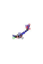 CC1(C)[C@H](NC(=O)c2ccc(N3CCN(C4CN(c5ccc6c(c5)C(=O)N(C5CCC(=O)NC5=O)C6=O)C4)CC3)nc2)C(C)(C)[C@H]1Oc1ccc(C#N)c(Cl)c1